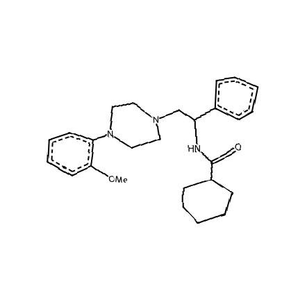 COc1ccccc1N1CCN(CC(NC(=O)C2CCCCC2)c2ccccc2)CC1